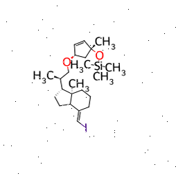 C[C@@H](CO[C@H]1C=C[C@](C)(O[Si](C)(C)C)C1)[C@H]1CCC2C(=CI)CCC[C@@]21C